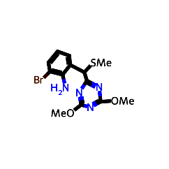 COc1nc(OC)nc(C(SC)c2cccc(Br)c2N)n1